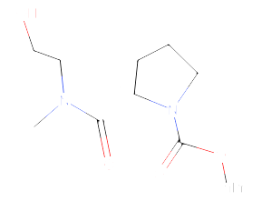 CCCOC(=O)N1CCC[C@H]1C(=O)N(C)CCO